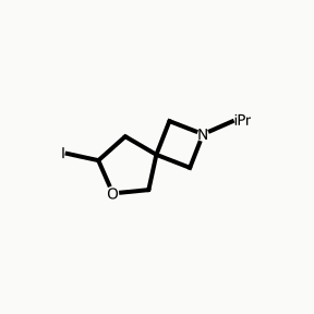 CC(C)N1CC2(COC(I)C2)C1